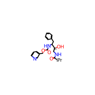 CC(C)C(=O)NC[C@H](O)C(Cc1ccccc1)NC(=O)OCc1cccnc1